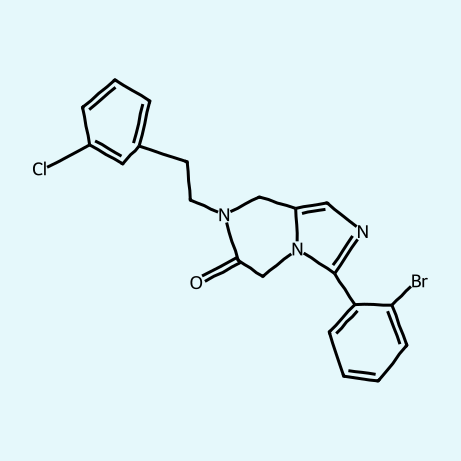 O=C1Cn2c(cnc2-c2ccccc2Br)CN1CCc1cccc(Cl)c1